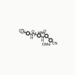 COc1cc(-c2ccc3c(c2)Nc2ccc(C(C)(C)C(=O)Nc4ccc(N5CCOCC5)cc4)cc2NC3=O)ccc1C#N